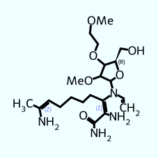 C=CN(/C(CCCC/C=C(/C)N)=C(\N)C(N)=O)C1O[C@H](CO)C(OCCOC)C1OC